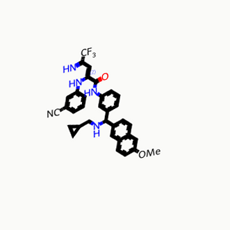 COc1ccc2cc(C(NCC3CC3)c3cccc(NC(=O)/C(=C/C(=N)C(F)(F)F)Nc4cccc(C#N)c4)c3)ccc2c1